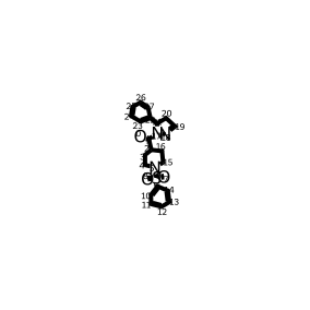 O=C(C1CCN(S(=O)(=O)c2ccccc2)CC1)N1N=CCC1c1ccccc1